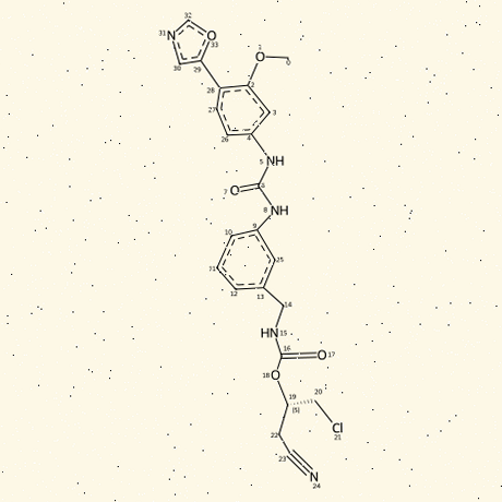 COc1cc(NC(=O)Nc2cccc(CNC(=O)O[C@H](CCl)CC#N)c2)ccc1-c1cnco1